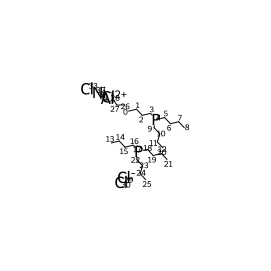 CCCCP(CCCC)CCCC.CCCCP(CCCC)CCCC.C[CH2][Al+2].[Cl-].[Cl-].[Cl][Ni][Cl]